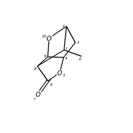 CC1C2CC3OC(=O)C1C3O2